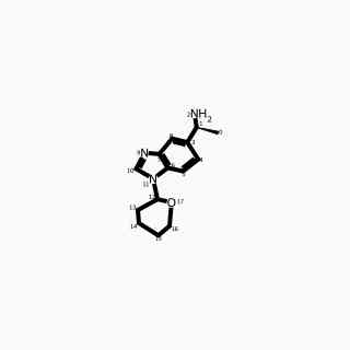 C[C@H](N)c1ccc2c(c1)ncn2C1CCCCO1